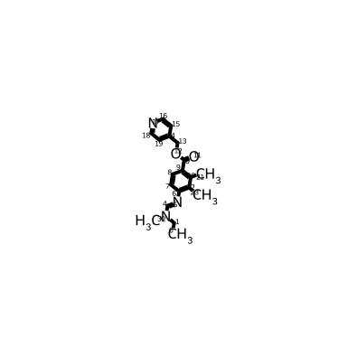 CCN(C)/C=N/c1ccc(C(=O)OCc2ccncc2)c(C)c1C